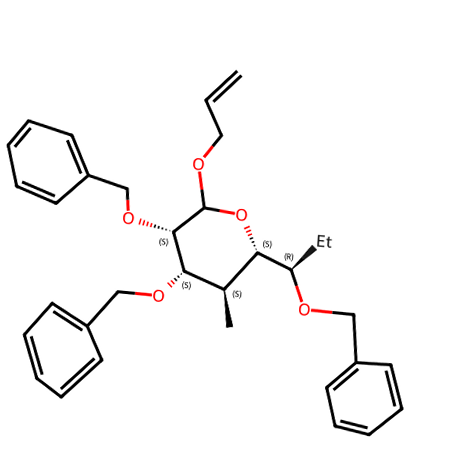 C=CCOC1O[C@H]([C@@H](CC)OCc2ccccc2)[C@@H](C)[C@H](OCc2ccccc2)[C@@H]1OCc1ccccc1